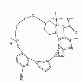 COC(=O)[C@@H](OC(C)(C)C)c1c(C)nc2cc3nn2c1N1CCC(C)(CC1)OCCCC[C@H](C)Oc1ccc(C#N)cc1-c1cccc-3c1